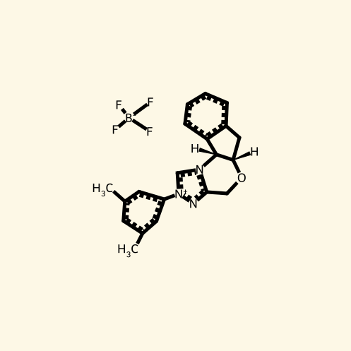 Cc1cc(C)cc(-[n+]2cn3c(n2)CO[C@H]2Cc4ccccc4[C@H]23)c1.F[B-](F)(F)F